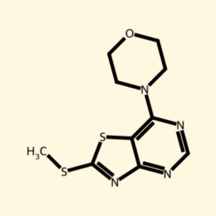 CSc1nc2ncnc(N3CCOCC3)c2s1